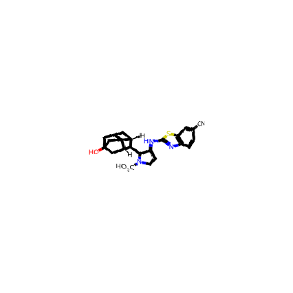 N#Cc1ccc2nc(NC3CCN(C(=O)O)C3C3[C@@H]4CC5C[C@H]3CC(O)(C5)C4)sc2c1